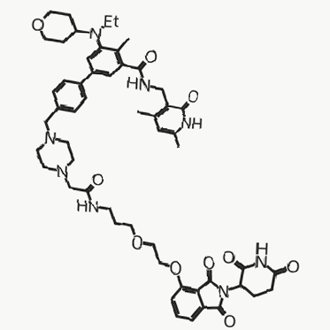 CCN(c1cc(-c2ccc(CN3CCN(CC(=O)NCCCOCCOc4cccc5c4C(=O)N(C4CCC(=O)NC4=O)C5=O)CC3)cc2)cc(C(=O)NCc2c(C)cc(C)[nH]c2=O)c1C)C1CCOCC1